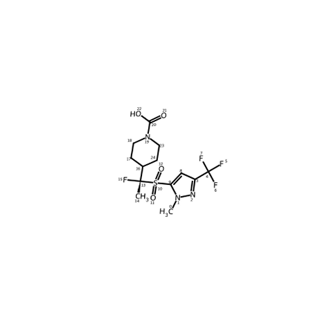 Cn1nc(C(F)(F)F)cc1S(=O)(=O)[C@](C)(F)C1CCN(C(=O)O)CC1